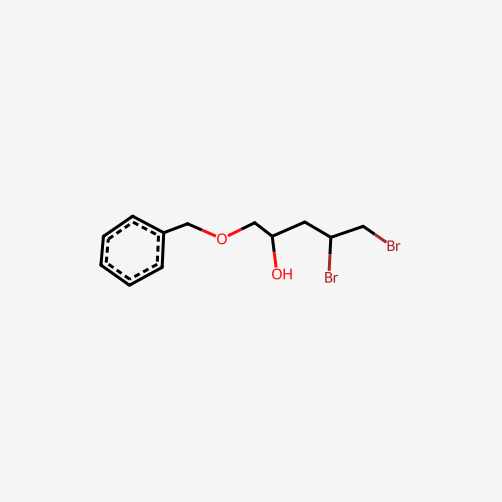 OC(COCc1ccccc1)CC(Br)CBr